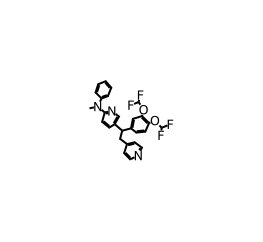 CN(c1ccccc1)c1ccc(C(Cc2ccncc2)c2ccc(OC(F)F)c(OC(F)F)c2)cn1